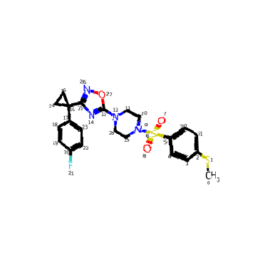 CSc1ccc(S(=O)(=O)N2CCN(c3nc(C4(c5ccc(F)cc5)CC4)no3)CC2)cc1